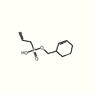 C=CCP(=O)(O)OCC1C=CCCC1